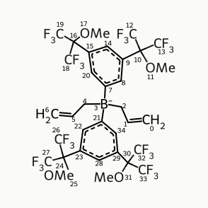 C=CC[B-](CC=C)(c1cc(C(OC)(C(F)(F)F)C(F)(F)F)cc(C(OC)(C(F)(F)F)C(F)(F)F)c1)c1cc(C(OC)(C(F)(F)F)C(F)(F)F)cc(C(OC)(C(F)(F)F)C(F)(F)F)c1